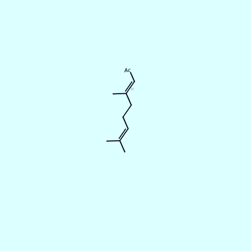 CC(=O)/C=C(\C)CCC=C(C)C